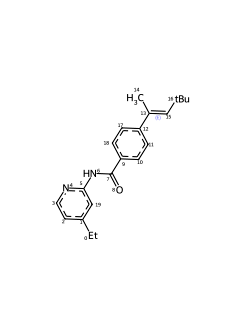 CCc1ccnc(NC(=O)c2ccc(/C(C)=C/C(C)(C)C)cc2)c1